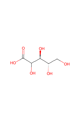 O=C(O)C(O)[C@@H](O)[C@@H](O)CO